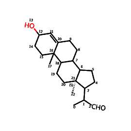 CC(C=O)C1CCC2C3CCC4=CC(O)CCC4(C)C3CC[C@]12C